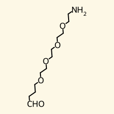 NCCOCCOCCOCCOCCCC=O